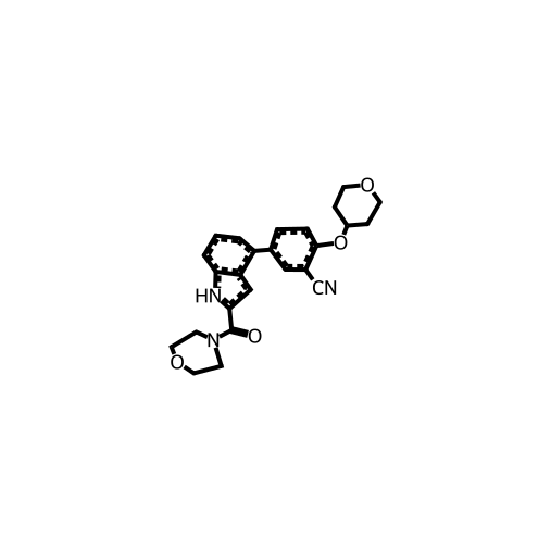 N#Cc1cc(-c2cccc3[nH]c(C(=O)N4CCOCC4)cc23)ccc1OC1CCOCC1